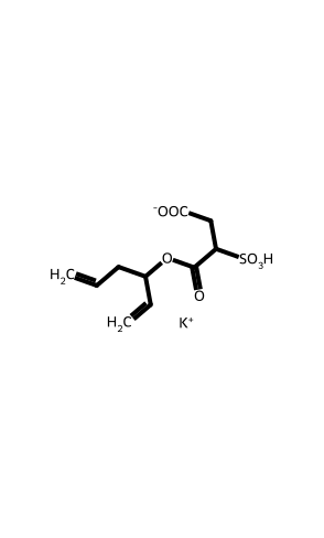 C=CCC(C=C)OC(=O)C(CC(=O)[O-])S(=O)(=O)O.[K+]